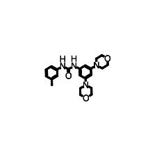 Cc1cccc(NC(=O)Nc2cc(N3CCOCC3)cc(N3CCOCC3)c2)c1